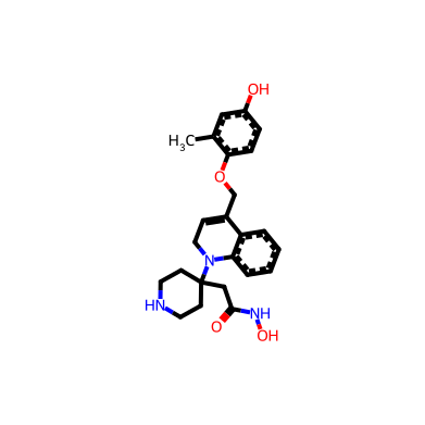 Cc1cc(O)ccc1OCC1=CCN(C2(CC(=O)NO)CCNCC2)c2ccccc21